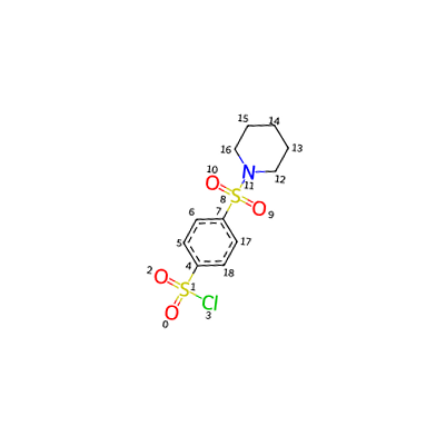 O=S(=O)(Cl)c1ccc(S(=O)(=O)N2CCCCC2)cc1